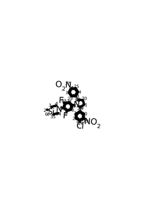 C[Si]1(C)CCN(c2c(F)cc(N3[C@H](c4ccc([N+](=O)[O-])cc4)CC[C@H]3c3ccc(Cl)c([N+](=O)[O-])c3)cc2F)CC1